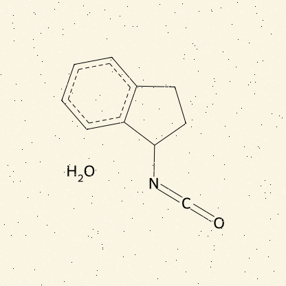 O.O=C=NC1CCc2ccccc21